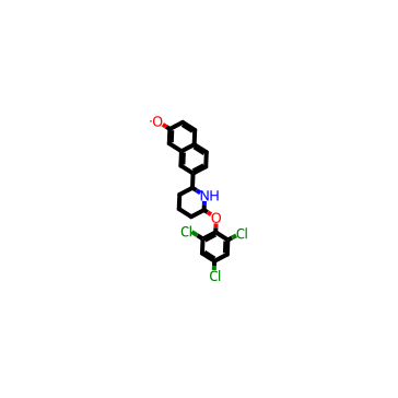 [O]c1ccc2ccc(C3CCCC(Oc4c(Cl)cc(Cl)cc4Cl)N3)cc2c1